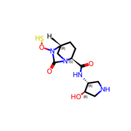 O=C(N[C@@H]1CNC[C@H]1O)[C@@H]1CC[C@@H]2CN1C(=O)N2OS